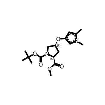 COC(=O)[C@@H]1C[C@@H](Oc2cc(C)n(C)c2)CN1C(=O)OC(C)(C)C